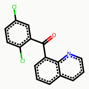 O=C(c1cc(Cl)ccc1Cl)c1cccc2cccnc12